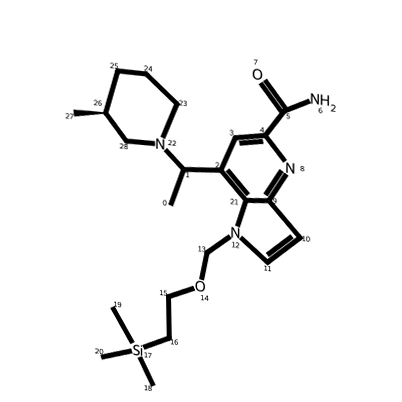 CC(c1cc(C(N)=O)nc2ccn(COCC[Si](C)(C)C)c12)N1CCC[C@H](C)C1